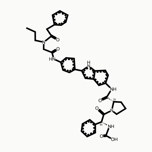 CCCN(CC(=O)Nc1ccc(-c2cc3cc(NC(=O)[C@@H]4CCCN4C(=O)[C@H](NC(=O)O)c4ccccc4)ccc3[nH]2)cc1)C(=O)Cc1ccccc1